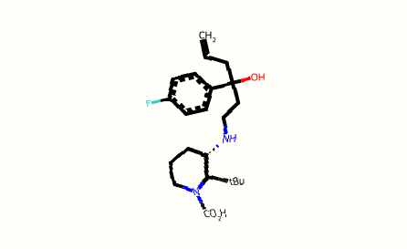 C=CCC(O)(CCN[C@H]1CCCN(C(=O)O)C1C(C)(C)C)c1ccc(F)cc1